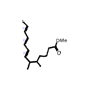 COC(=O)CCCC(C)C(C)/C=C/C=C/C=C/I